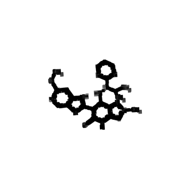 COc1cc2[nH]c(-c3c(N[C@H](c4ncccn4)C(C)C)c4nn(C)cc4[nH]c3=O)nc2cn1